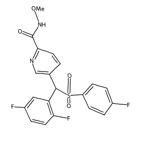 CONC(=O)c1ccc(C(c2cc(F)ccc2F)S(=O)(=O)c2ccc(F)cc2)cn1